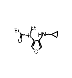 CCC(=O)N(CC)c1cocc1NC1CC1